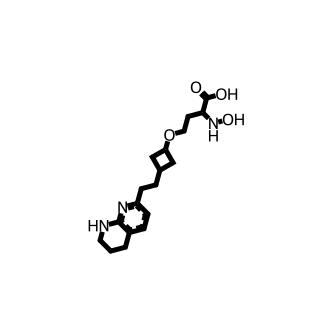 O=C(O)C(CCOC1CC(CCc2ccc3c(n2)NCCC3)C1)NO